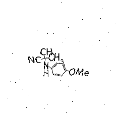 COc1ccc(NC(C)(C)C#N)cc1